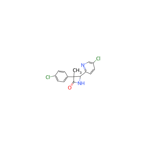 CC1(c2ccc(Cl)cc2)C(=O)NC1c1ccc(Cl)cn1